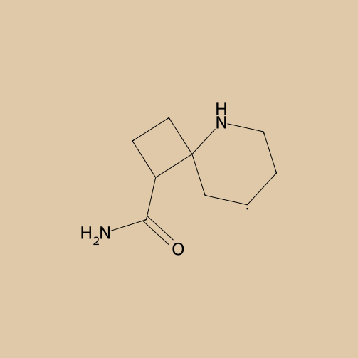 NC(=O)C1CCC12C[CH]CCN2